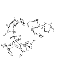 CN1CCN(c2ccc3cc2[C@@H](O)CS[C@@H]2C[C@@H]4C[C@H]2[C@@H](Nc2nc(ncc2F)N3)[C@H]4C(N)=O)CC1